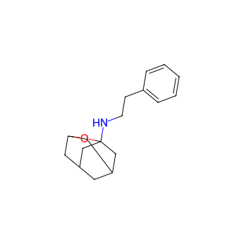 c1ccc(CCNC23CC4CC(CC(C4)O2)C3)cc1